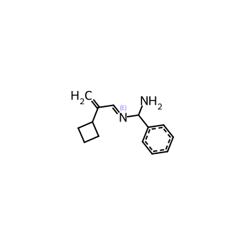 C=C(/C=N/C(N)c1ccccc1)C1CCC1